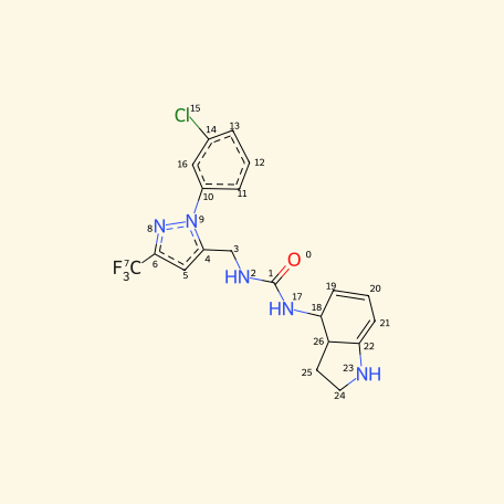 O=C(NCc1cc(C(F)(F)F)nn1-c1cccc(Cl)c1)NC1C=CC=C2NCCC21